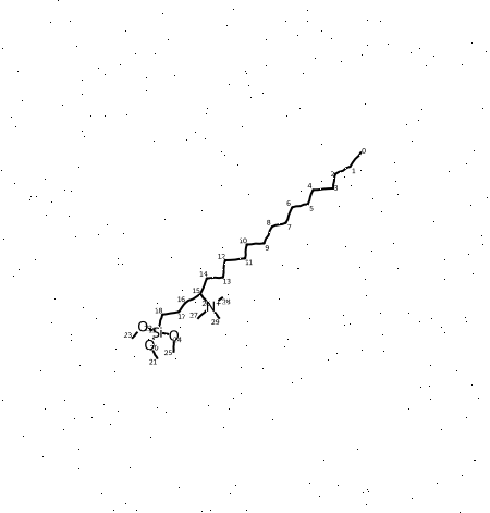 CCCCCCCCCCCCCCCC(CCC[Si](OC)(OC)OC)[N+](C)(C)C